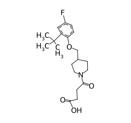 CC(C)(C)c1cc(F)ccc1OCC1CCN(C(=O)CCC(=O)O)CC1